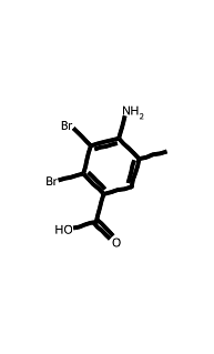 Cc1cc(C(=O)O)c(Br)c(Br)c1N